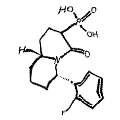 O=C1C(P(=O)(O)O)CC[C@H]2CCC[C@@H](c3ccccc3F)N12